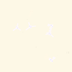 C=C1N(c2cnn(Cc3c(C)noc3C)c2)C(=O)C(C)N1Cc1ccccc1